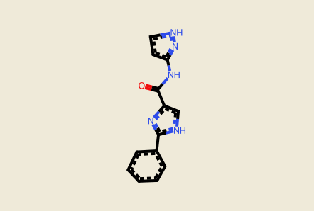 O=C(Nc1cc[nH]n1)c1c[nH]c(-c2cc[c]cc2)n1